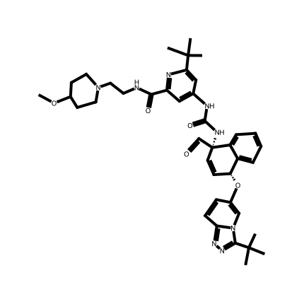 COC1CCN(CCNC(=O)c2cc(NC(=O)N[C@@]3(C=O)C=C[C@@H](Oc4ccc5nnc(C(C)(C)C)n5c4)c4ccccc43)cc(C(C)(C)C)n2)CC1